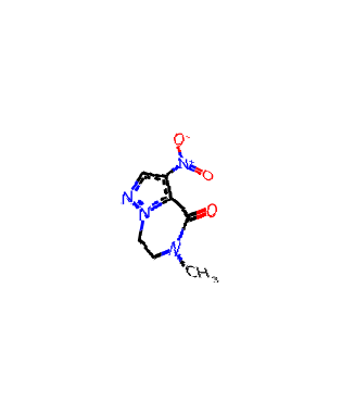 CN1CCn2ncc([N+](=O)[O-])c2C1=O